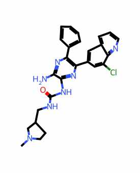 CN1CCC(CNC(=O)Nc2nc(-c3cc(Cl)c4ncccc4c3)c(-c3ccccc3)nc2N)C1